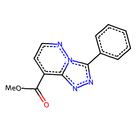 COC(=O)c1ccnn2c(-c3ccccc3)nnc12